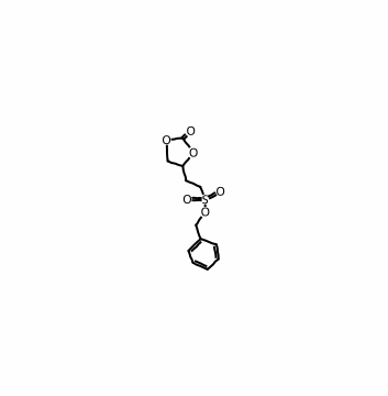 O=C1OCC(CCS(=O)(=O)OCc2ccccc2)O1